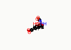 C=C(C)[C@@H]1C=CC2(NCCN3CCS(=O)(=O)CC3)C[C@H](O)C3(C)[C@H](CC[C@@H]4C5(C)CC=C(c6ccc(C(=O)OC)cc6)C(C)(C)[C@H]5C[C@H](O)C43C)[C@H]12